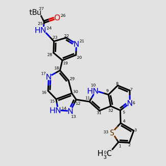 Cc1ccc(-c2nccc3[nH]c(-c4n[nH]c5cnc(-c6cncc(NC(=O)C(C)(C)C)c6)cc45)cc23)s1